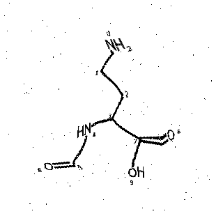 NCCC(N[C]=O)C(=O)O